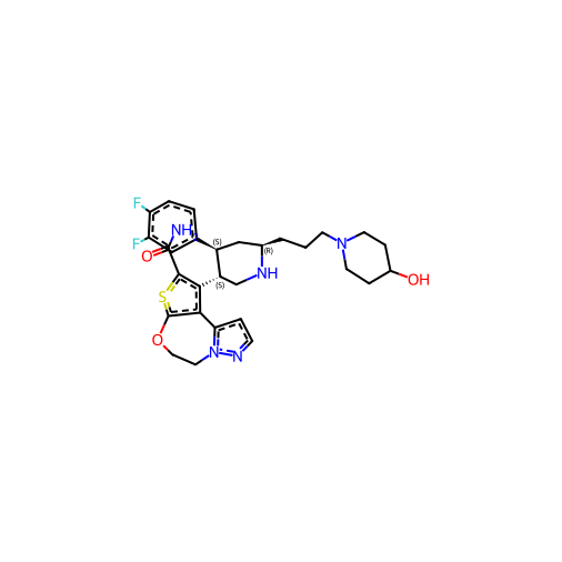 NC(=O)c1sc2c(c1[C@H]1CN[C@H](CCCN3CCC(O)CC3)C[C@@H]1c1ccc(F)c(F)c1)-c1ccnn1CCO2